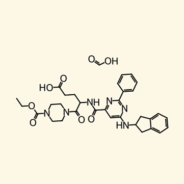 CCOC(=O)N1CCN(C(=O)C(CCC(=O)O)NC(=O)c2cc(NC3Cc4ccccc4C3)nc(-c3ccccc3)n2)CC1.O=CO